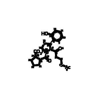 CC(=O)SCCC(=O)N1[C@@H](c2ccccc2O)SC[C@H]1C(=O)N1CCC[C@H]1C(=O)O